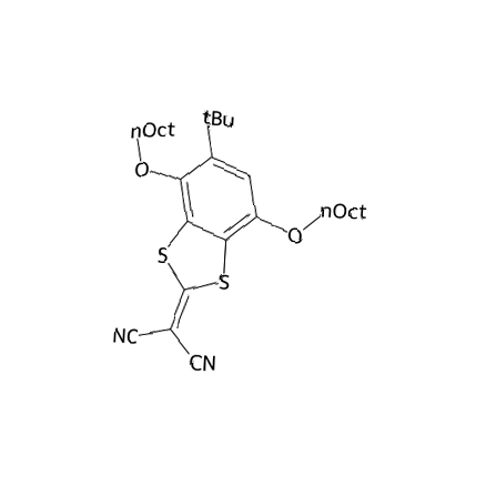 CCCCCCCCOc1cc(C(C)(C)C)c(OCCCCCCCC)c2c1SC(=C(C#N)C#N)S2